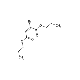 CCCOC(=O)/C=C(/Br)C(=O)OCCC